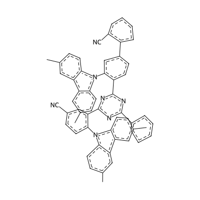 Cc1ccc2c(c1)c1cc(C)ccc1n2-c1ccc(C#N)cc1-c1nc(-c2ccccc2)nc(-c2ccc(-c3ccccc3C#N)cc2-n2c3ccc(C)cc3c3cc(C)ccc32)n1